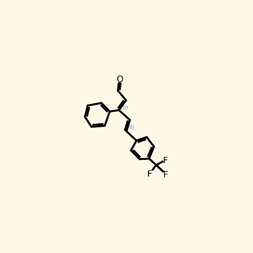 O=C/C=C(/C=C/c1ccc(C(F)(F)F)cc1)c1ccccc1